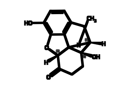 CN1CC23c4c5ccc(O)c4O[C@H]2C(=O)CC[C@@]3(O)[C@H]1C5